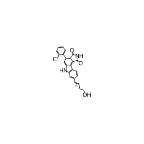 O=C1NC(=O)c2c1c(-c1ccccc1Cl)cc1[nH]c3cc(/C=C/CCO)ccc3c21